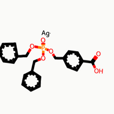 O=C(O)c1ccc(COP(=O)(OCc2ccccc2)OCc2ccccc2)cc1.[Ag]